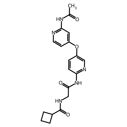 CC(=O)Nc1cc(Oc2ccc(NC(=O)CNC(=O)C3CCC3)nc2)ccn1